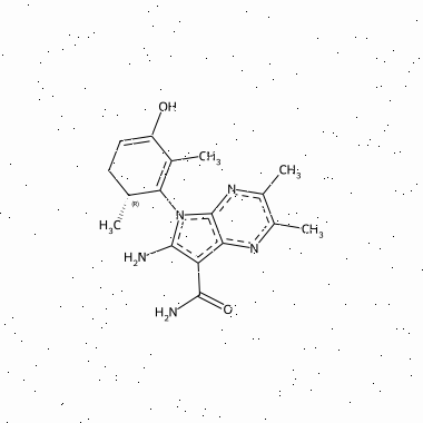 CC1=C(n2c(N)c(C(N)=O)c3nc(C)c(C)nc32)[C@H](C)CC=C1O